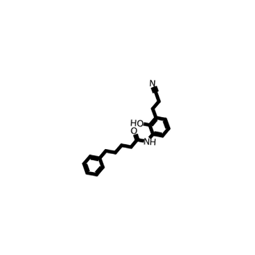 N#CCCc1cccc(NC(=O)CCCCc2ccccc2)c1O